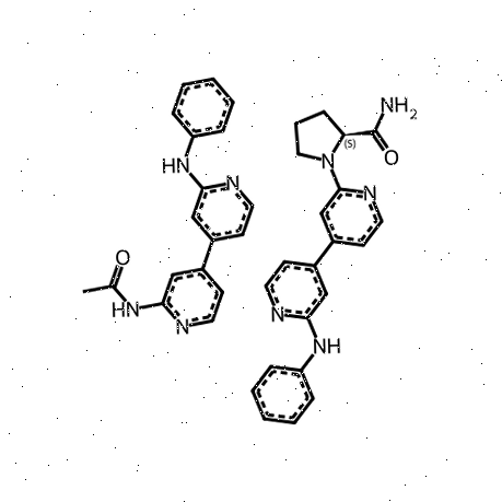 CC(=O)Nc1cc(-c2ccnc(Nc3ccccc3)c2)ccn1.NC(=O)[C@@H]1CCCN1c1cc(-c2ccnc(Nc3ccccc3)c2)ccn1